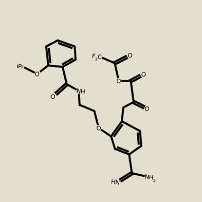 CC(C)Oc1ccccc1C(=O)NCCOc1cc(C(=N)N)ccc1CC(=O)C(=O)OC(=O)C(F)(F)F